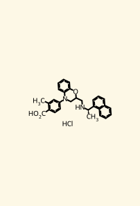 Cc1cc(N2CC(CN[C@H](C)c3cccc4ccccc34)Oc3ccccc32)ccc1C(=O)O.Cl